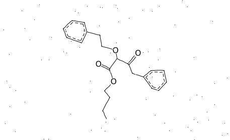 CCCCOC(=O)C(OCCc1ccccc1)C(=O)Cc1ccccc1